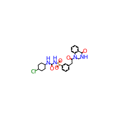 O=C(NC1CCC(Cl)CC1)NS(=O)(=O)c1cccc(CC(=O)N2CNC(=O)c3ccccc32)c1